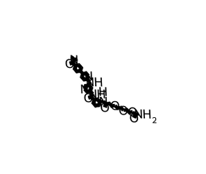 CN(C)C(=O)c1ccc(-c2ccc(Nc3cncc(NC(=O)c4cccc(NC(=O)CCOCCOCCOC(N)=O)c4)c3)nc2)cc1